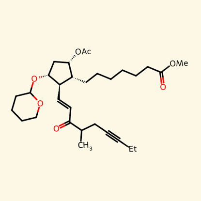 CCC#CCC(C)C(=O)/C=C/[C@@H]1[C@@H](CCCCCCC(=O)OC)[C@@H](OC(C)=O)C[C@H]1OC1CCCCO1